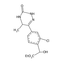 CCOC(=O)C(O)c1ccc(C2=NNC(=O)NC2C)cc1Cl